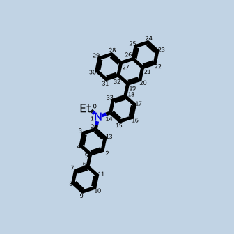 CCN(c1ccc(-c2ccccc2)cc1)c1cccc(-c2cc3ccccc3c3ccccc23)c1